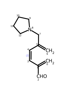 C=C(C=O)/C=C\C(=C)CN1CCCC1